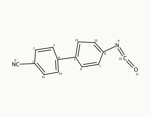 N#Cc1ccc(-c2ccc(N=C=O)cc2)cc1